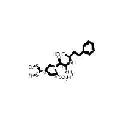 CCSC(SCC)[C@H]1C[C@@H](C(=O)O)N(C(=O)[C@H](C)NC(CCc2ccccc2)C(=O)O)C1